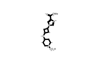 COC(=O)c1cn(C2CC(OC3CCN(C(=O)O)CC3)C2)cn1